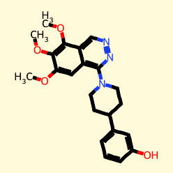 COc1cc2c(N3CCC(c4cccc(O)c4)CC3)nncc2c(OC)c1OC